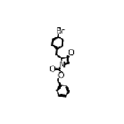 O=C1CN(C(=O)OCc2ccccc2)C1Cc1ccc(Br)cc1